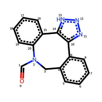 O=CN1Cc2ccccc2-c2nn[nH]c2-c2ccccc21